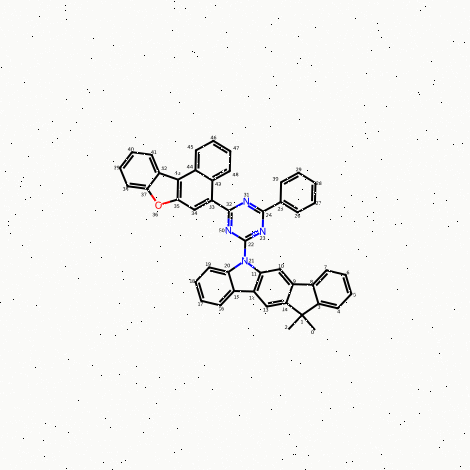 CC1(C)c2ccccc2-c2cc3c(cc21)c1ccccc1n3-c1nc(-c2ccccc2)nc(-c2cc3oc4ccccc4c3c3ccccc23)n1